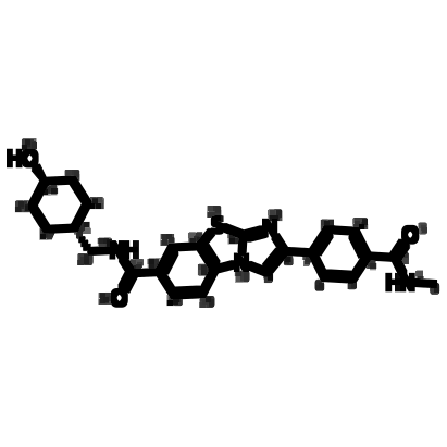 CNC(=O)c1ccc(-c2cn3c(n2)sc2cc(C(=O)NC[C@H]4CC[C@H](O)CC4)ccc23)cc1